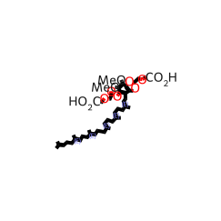 COc1c(OC(=O)COCC(=O)O)c(C)c(C/C=C(\C)CC/C=C(\C)CC/C=C(\C)CC/C=C(\C)CC/C=C(\C)CCC=C(C)C)c(OC(=O)COCC(=O)O)c1OC